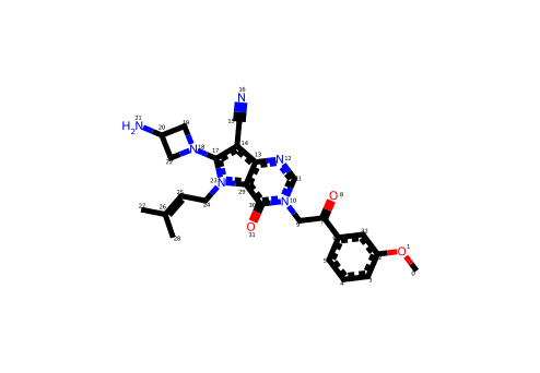 COc1cccc(C(=O)Cn2cnc3c(C#N)c(N4CC(N)C4)n(CC=C(C)C)c3c2=O)c1